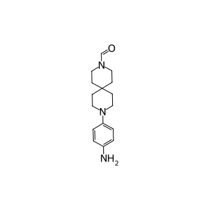 Nc1ccc(N2CCC3(CCN(C=O)CC3)CC2)cc1